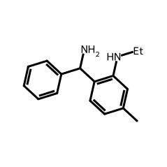 CCNc1cc(C)ccc1C(N)c1ccccc1